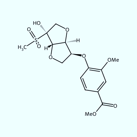 COC(=O)c1ccc(O[C@H]2CO[C@H]3[C@H]2OC[C@]3(O)S(C)(=O)=O)c(OC)c1